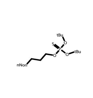 CCCCCCCCCCCCOP(=S)(OC(C)(C)C)OC(C)(C)C